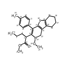 CCCC(C(=O)OC)C1=C(c2ccc(C)cc2)c2sc3c(c2CN1OC)CCCC3